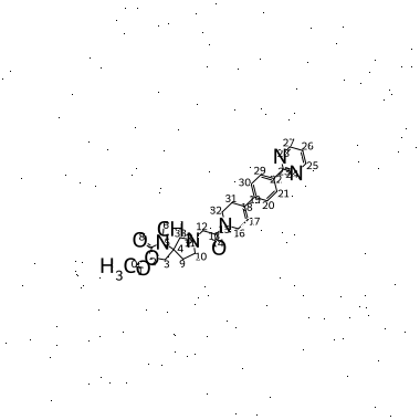 COOCC1(N(C)C=O)CCN(CC(=O)N2CC=C(c3ccc(-c4ncccn4)cc3)CC2)C1